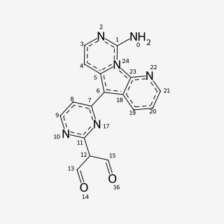 Nc1nccc2c(-c3ccnc(C(C=O)C=O)n3)c3cccnc3n12